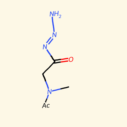 CC(=O)N(C)CC(=O)N=NN